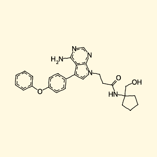 Nc1ncnc2c1c(-c1ccc(Oc3ccccc3)cc1)cn2CCC(=O)NC1(CO)CCCC1